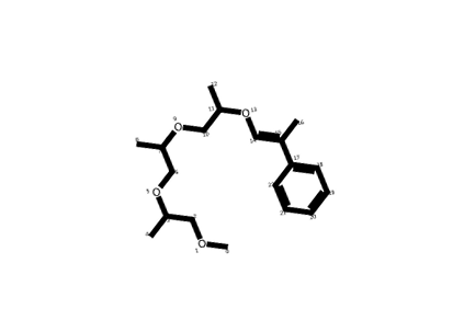 COCC(C)OCC(C)OCC(C)OC=C(C)c1ccccc1